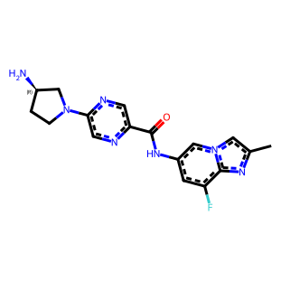 Cc1cn2cc(NC(=O)c3cnc(N4CC[C@@H](N)C4)cn3)cc(F)c2n1